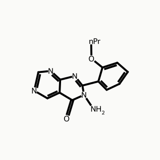 CCCOc1ccccc1-c1nc2ncncc2c(=O)n1N